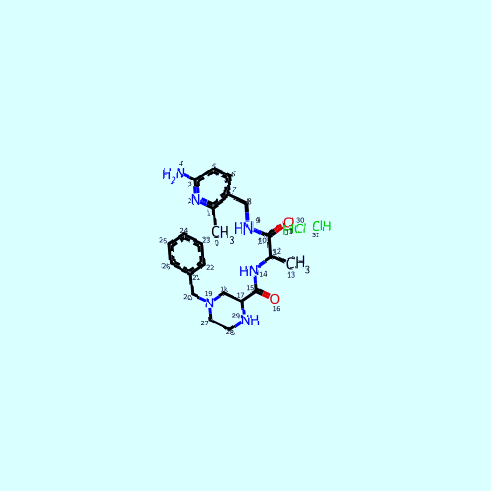 Cc1nc(N)ccc1CNC(=O)C(C)NC(=O)C1CN(Cc2ccccc2)CCN1.Cl.Cl